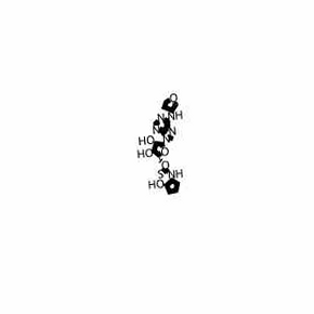 O[C@@H]1[C@H](O)[C@@H](COC(=S)N[C@@H]2CCC[C@H]2O)O[C@H]1n1cnc2c(N[C@@H]3CCOC3)ncnc21